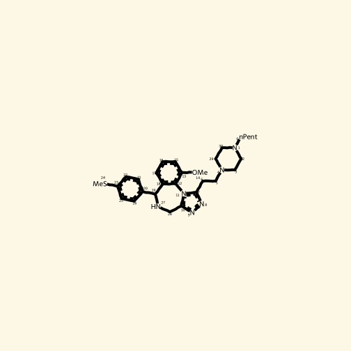 CCCCCN1CCN(CCc2nnc3n2-c2c(OC)cccc2C(c2ccc(SC)cc2)NC3)CC1